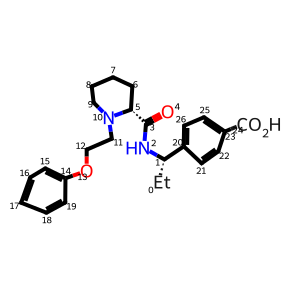 CC[C@H](NC(=O)[C@H]1CCCCN1CCOc1ccccc1)c1ccc(C(=O)O)cc1